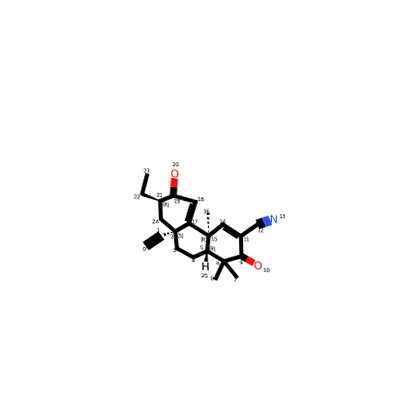 C#C[C@@]12CC[C@H]3C(C)(C)C(=O)C(C#N)=C[C@]3(C)C1=CC(=O)[C@H](CC)C2